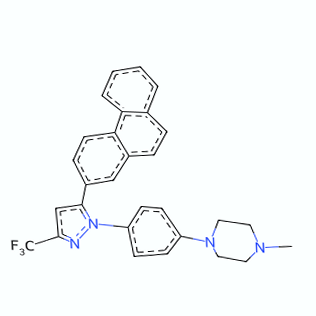 CN1CCN(c2ccc(-n3nc(C(F)(F)F)cc3-c3ccc4c(ccc5ccccc54)c3)cc2)CC1